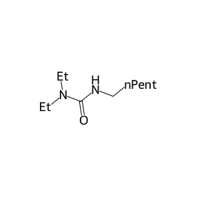 CCCCCCNC(=O)N(CC)CC